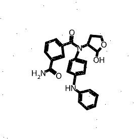 NC(=O)c1cccc(C(=O)N(c2ccc(Nc3ccccc3)cc2)C2CCOC2O)c1